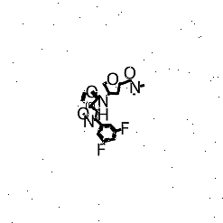 C=C[C@]1(C(=O)NC2COC(C(=O)N(C)C)C2)CC(c2cc(F)cc(F)c2)=NO1